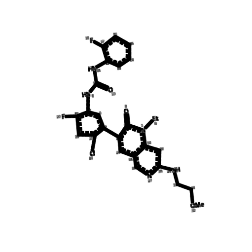 CCn1c(=O)c(-c2cc(NC(=O)Nc3ccccc3F)c(F)cc2Cl)cc2cnc(NCCOC)cc21